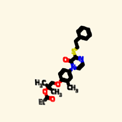 CCC(=O)OC(C)(C)COc1ccc(-n2ccnc(SCCc3ccccc3)c2=O)cc1C